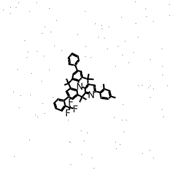 Cc1ccc(-c2cc3c4c(n2)C(C)(C)c2cc(-c5ccccc5C(F)(F)F)cc5c2N4c2c(cc(-c4ccccc4)cc2C3(C)C)C5(C)C)c(C)c1